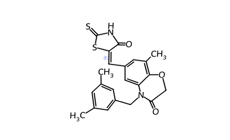 Cc1cc(C)cc(CN2C(=O)COc3c(C)cc(/C=C4/SC(=S)NC4=O)cc32)c1